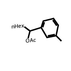 CCCCCCC(OC(C)=O)c1cccc(C)c1